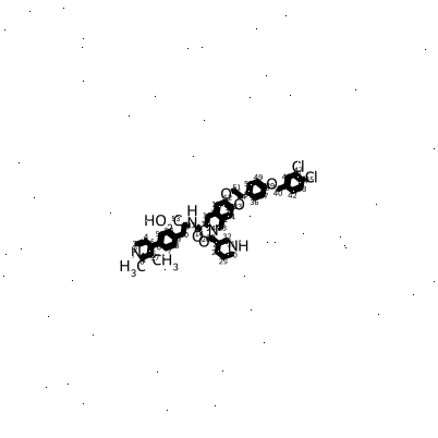 Cc1nccc(-c2ccc(CC(NC(=O)[C@@H]3Cc4cc5c(cc4CN3C(=O)C3CCCNC3)O[C@@H](c3ccc(OCc4ccc(Cl)c(Cl)c4)cc3)CO5)C(=O)O)cc2)c1C